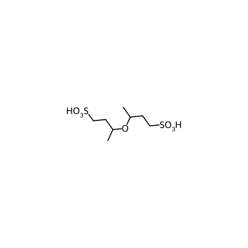 CC(CCS(=O)(=O)O)OC(C)CCS(=O)(=O)O